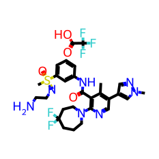 Cc1c(-c2cnn(C)c2)cnc(N2CCCC(F)(F)CC2)c1C(=O)Nc1cccc(S(C)(=O)=NCCN)c1.O=C(O)C(F)(F)F